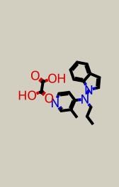 CCCN(c1ccncc1C)n1ccc2ccccc21.O=C(O)C(=O)O